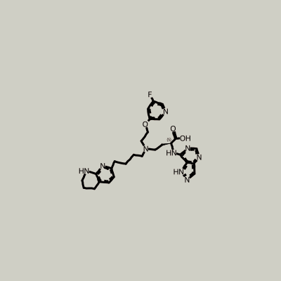 O=C(O)[C@H](CCN(CCCCc1ccc2c(n1)NCCC2)CCOc1cncc(F)c1)Nc1ncnc2cn[nH]c12